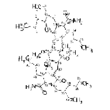 CCCCC(CC)CN(C(=O)C=Cc1cc(OC)c(C=CC(=O)N(CC(CC)CCCC)C(C(N)=O)C(CC)CCCC)cc1OC)C(C(N)=O)C(CC)CCCC